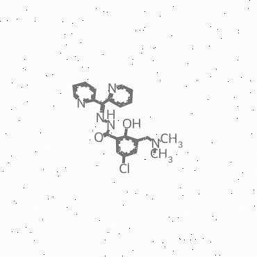 CN(C)Cc1cc(Cl)cc(C(=O)NN=C(c2ccccn2)c2ccccn2)c1O